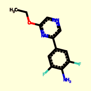 CCOc1cncc(-c2cc(F)c(N)c(F)c2)n1